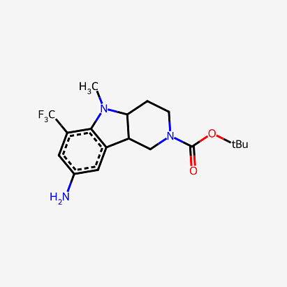 CN1c2c(cc(N)cc2C(F)(F)F)C2CN(C(=O)OC(C)(C)C)CCC21